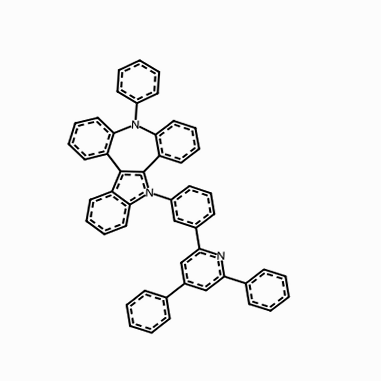 c1ccc(-c2cc(-c3ccccc3)nc(-c3cccc(-n4c5c(c6ccccc64)-c4ccccc4N(c4ccccc4)c4ccccc4-5)c3)c2)cc1